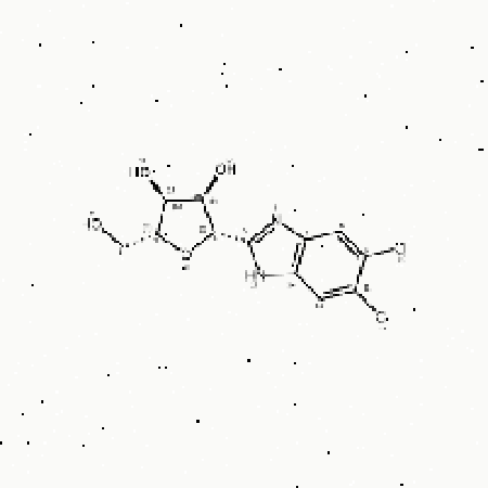 OC[C@H]1O[C@@H](c2nc3cc(Cl)c(Cl)cc3[nH]2)[C@H](O)[C@@H]1O